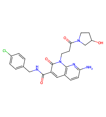 Nc1ccc2cc(C(=O)NCc3ccc(Cl)cc3)c(=O)n(CCC(=O)N3CCC(O)C3)c2n1